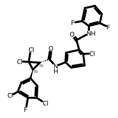 O=C(Nc1c(F)cccc1F)c1cc(NC(=O)[C@@H]2[C@@H](c3cc(Cl)c(F)c(Cl)c3)C2(Cl)Cl)ccc1Cl